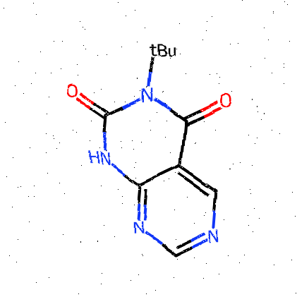 CC(C)(C)n1c(=O)[nH]c2ncncc2c1=O